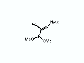 CN/N=C(\C(C)=O)P(OC)OC